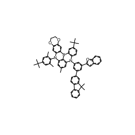 Cc1cc2c3c(c1)N(c1c(C)cc(C(C)(C)C)cc1C)c1cc4c(cc1B3c1cc(C(C)(C)C)ccc1N2c1cc(-c2ccc3c(c2)C(C)(C)c2ccccc2-3)cc(-c2cc3ccccc3o2)c1)OCCO4